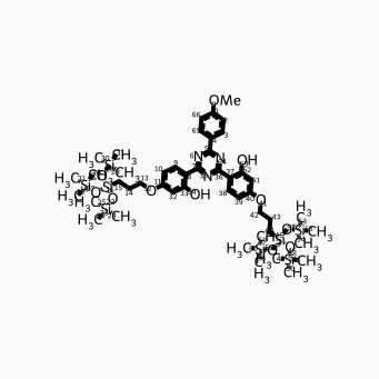 COc1ccc(-c2nc(-c3ccc(OCCC[Si](O[Si](C)(C)C)(O[Si](C)(C)C)O[Si](C)(C)C)cc3O)nc(-c3ccc(OCCC[Si](O[Si](C)(C)C)(O[Si](C)(C)C)O[Si](C)(C)C)cc3O)n2)cc1